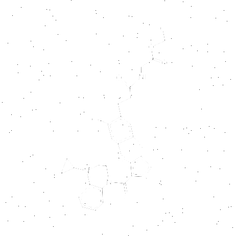 CCOC(=O)CNC(=O)CCc1cc(Cl)c(Oc2ccsc2C(=O)N2CCN(C3CC3)c3ccccc32)cc1Cl